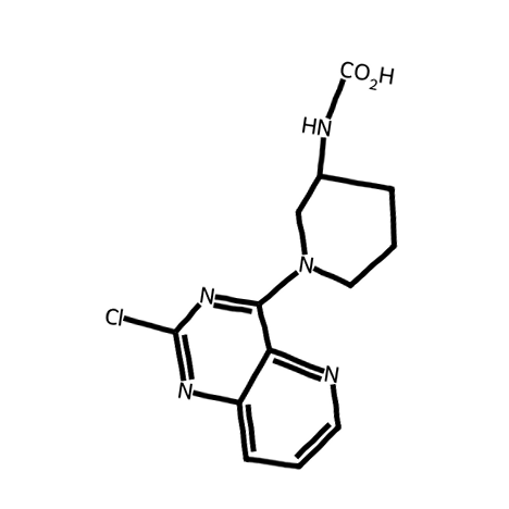 O=C(O)NC1CCCN(c2nc(Cl)nc3cccnc23)C1